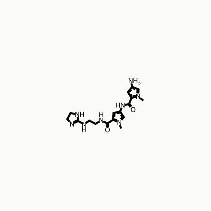 Cn1cc(NC(=O)c2cc(N)cn2C)cc1C(=O)NCCNC1=NCCN1